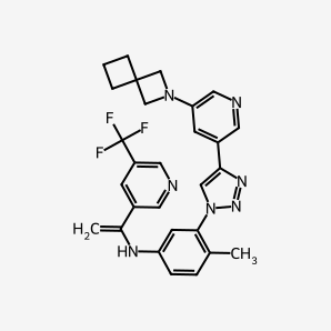 C=C(Nc1ccc(C)c(-n2cc(-c3cncc(N4CC5(CCC5)C4)c3)nn2)c1)c1cncc(C(F)(F)F)c1